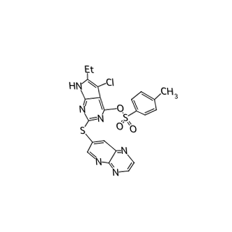 CCc1[nH]c2nc(Sc3cnc4nccnc4c3)nc(OS(=O)(=O)c3ccc(C)cc3)c2c1Cl